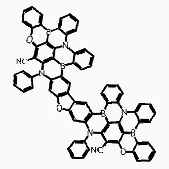 N#Cc1c2c3c4c5c1N(c1ccccc1)c1cc6oc7cc8c(cc7c6cc1B5c1ccccc1N4c1ccccc1B3c1ccccc1O2)B1c2ccccc2N2c3ccccc3B3c4ccccc4Oc4c(C#N)c(c1c2c43)N8c1ccccc1